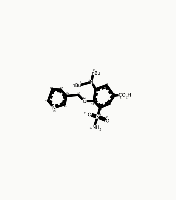 CCCCN(CCCC)c1cc(C(=O)O)cc(S(N)(=O)=O)c1OCc1cccnc1